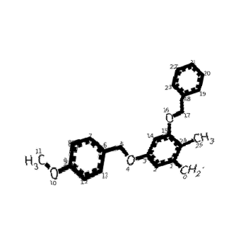 [CH2]c1cc(OCc2ccc(OC)cc2)cc(OCc2ccccc2)c1C